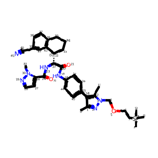 Cc1nn(COCC[Si](C)(C)C)c(C)c1-c1ccc(NC(=O)C(NC(=O)c2ccnn2C)[C@H]2CCCc3ccc(C#N)cc32)cc1